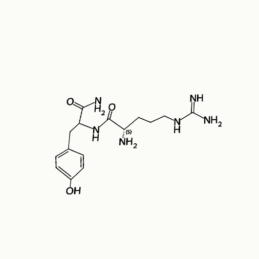 N=C(N)NCCC[C@H](N)C(=O)NC(Cc1ccc(O)cc1)C(N)=O